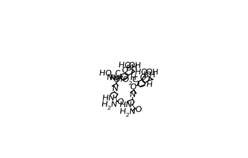 NC(=O)[C@@H]1C[C@H](N2CC(Oc3ccc4c(c3C(=O)O)O[B-](O)(O)[C@H]3C[C@@H]43)C2)CN1.NC(=O)[C@@H]1C[C@H](N2CC(Oc3ccc4c(c3C(=O)O)O[B-](O)(O)[C@H]3C[C@@H]43)C2)CN1.[Na+].[Na+]